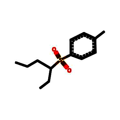 CCCC(CC)S(=O)(=O)c1ccc(C)cc1